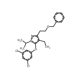 CCc1c(CCOCc2ccccc2)nn(C(C)C)c1Oc1cc(Cl)cc(Cl)c1